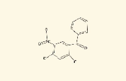 O=C(c1ccccc1)c1cc([N+](=O)[O-])c(Cl)cc1Cl